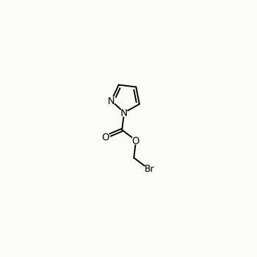 O=C(OCBr)n1cccn1